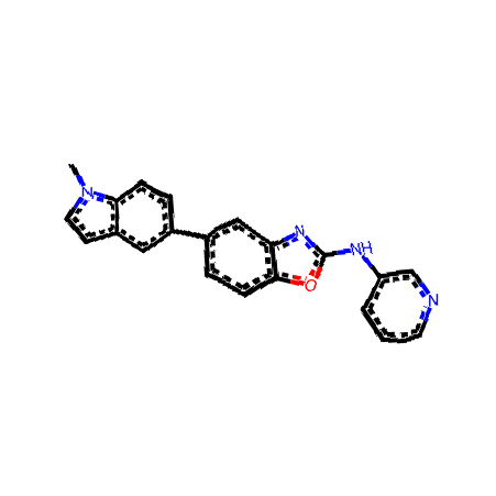 Cn1ccc2cc(-c3ccc4oc(Nc5cccnc5)nc4c3)ccc21